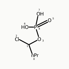 CCCC(Cl)OP(=O)(O)O